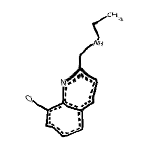 CCNCc1ccc2cccc(Cl)c2n1